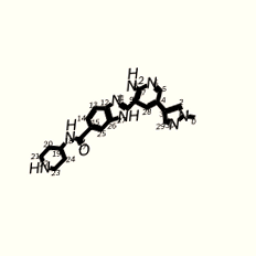 Cn1cc(-c2cnc(N)c(-c3nc4ccc(C(=O)NC5CCNCC5)cc4[nH]3)c2)cn1